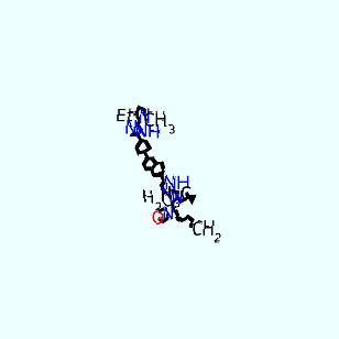 C=C/C=C\C=C/CC(C(=C)N(Cc1ncc(-c2ccc3cc(C4C=CC(c5cnc(C6C(CC)CCN6C)[nH]5)=CC4)ccc3c2)[nH]1)CC1(C)CC1)N1CCOCC1